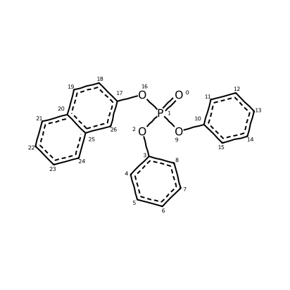 O=P(Oc1ccccc1)(Oc1ccccc1)Oc1ccc2ccccc2c1